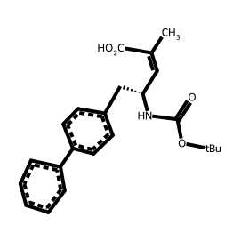 C/C(=C/[C@@H](Cc1ccc(-c2ccccc2)cc1)NC(=O)OC(C)(C)C)C(=O)O